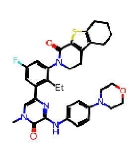 CCc1c(-c2cn(C)c(=O)c(Nc3ccc(N4CCOCC4)cc3)n2)cc(F)cc1N1CCc2c(sc3c2CCCC3)C1=O